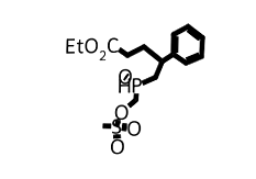 CCOC(=O)CCC(C[PH](=O)COS(C)(=O)=O)c1ccccc1